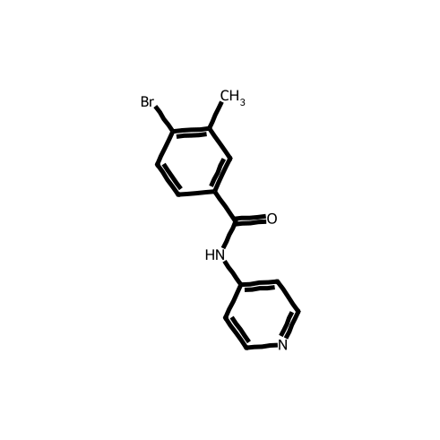 Cc1cc(C(=O)Nc2ccncc2)ccc1Br